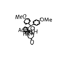 CCN1[C@@H]2CC(=O)C[C@H]1[C@H](OC(C)=O)[C@@H]2OC(c1ccccc1)(c1ccc(OC)cc1)c1ccc(OC)cc1